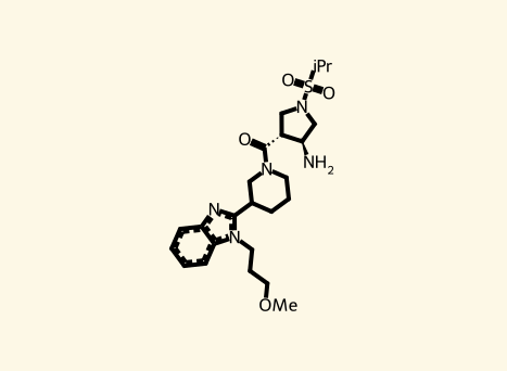 COCCCn1c(C2CCCN(C(=O)[C@@H]3CN(S(=O)(=O)C(C)C)C[C@H]3N)C2)nc2ccccc21